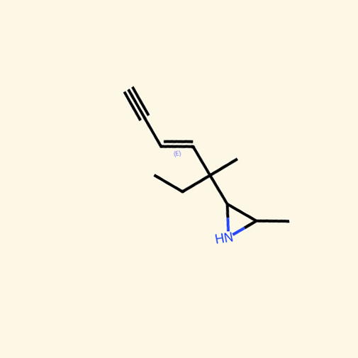 C#C/C=C/C(C)(CC)C1NC1C